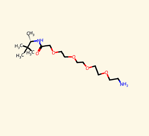 C[C@H](NC(=O)COCCOCCOCCOCCN)C(C)(C)C